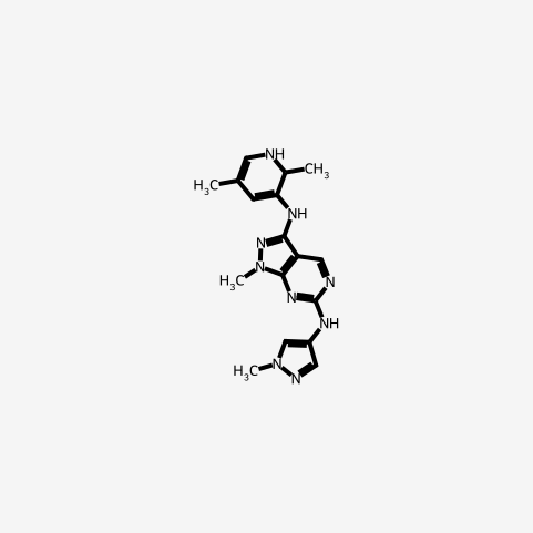 CC1=CNC(C)C(Nc2nn(C)c3nc(Nc4cnn(C)c4)ncc23)=C1